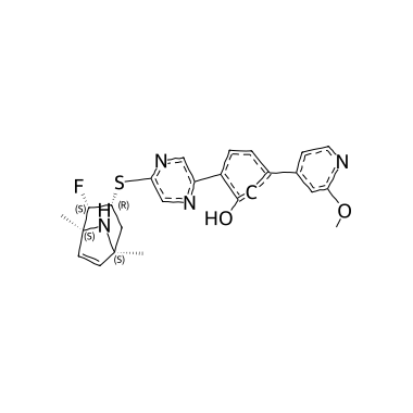 COc1cc(-c2ccc(-c3cnc(S[C@@H]4C[C@@]5(C)C=C[C@](C)(N5)[C@@H]4F)cn3)c(O)c2)ccn1